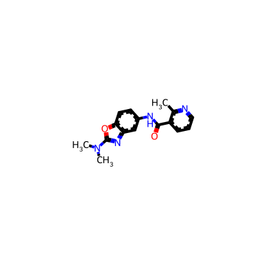 Cc1ncccc1C(=O)Nc1ccc2oc(N(C)C)nc2c1